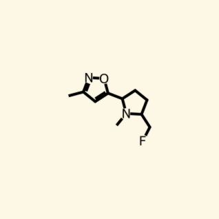 Cc1cc(C2CCC(CF)N2C)on1